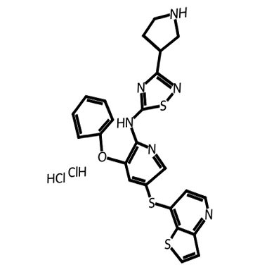 Cl.Cl.c1ccc(Oc2cc(Sc3ccnc4ccsc34)cnc2Nc2nc(C3CCNC3)ns2)cc1